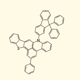 c1ccc(-c2cccc(-c3ccccc3N(c3ccc4c(c3)C(c3ccccc3)(c3ccccc3)c3ccccc3-4)c3ccc4sc5ccccc5c4c3)c2)cc1